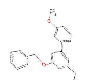 O=C(O)Cc1cc(OCc2ccccc2)cc(-c2cccc(OC(F)(F)F)c2)c1